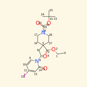 CCOC(=O)C1(CCn2ccc(I)cc2=O)CCN(C(=O)OC(C)(C)C)CC1